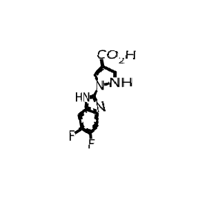 O=C(O)C1=CN(c2nc3cc(F)c(F)cc3[nH]2)NC1